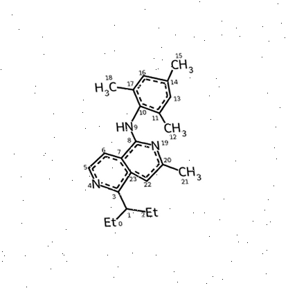 CCC(CC)c1nccc2c(Nc3c(C)cc(C)cc3C)nc(C)cc12